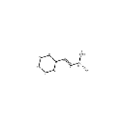 CC[C@@H](O)C=CC1CCCCC1